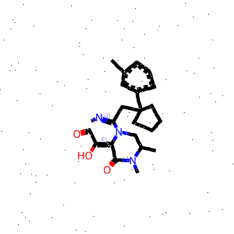 C/N=C(/CC1(c2cccc(C)c2)CCCC1)N1CC(C)N(C)C(=O)/C1=C(\O)C=O